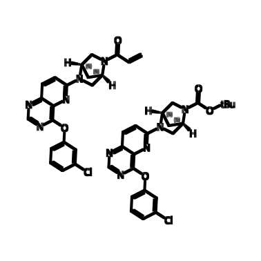 C=CC(=O)N1C[C@@H]2C[C@H]1CN2c1ccc2ncnc(Oc3cccc(Cl)c3)c2n1.CC(C)(C)OC(=O)N1C[C@@H]2C[C@H]1CN2c1ccc2ncnc(Oc3cccc(Cl)c3)c2n1